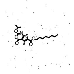 CCCCCCCCOC(=O)c1sc2nc(OC(C)C)oc(=O)c2c1C